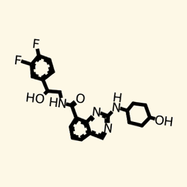 O=C(NCC(O)c1ccc(F)c(F)c1)c1cccc2cnc(NC3CCC(O)CC3)nc12